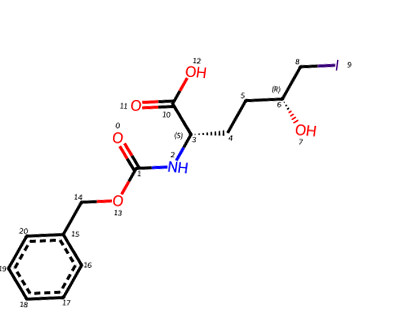 O=C(N[C@@H](CC[C@@H](O)CI)C(=O)O)OCc1ccccc1